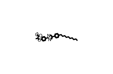 CCCCCCCCCCc1ccc(-c2cnc(-c3ccc(OC(C)C(=O)OC)cc3)nc2)cc1